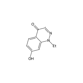 CCn1n[c]c(=O)c2ccc(O)cc21